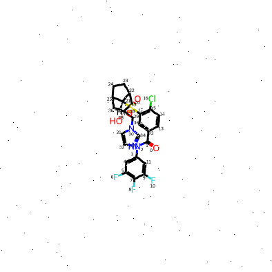 O=C(Nc1cc(F)c(F)c(F)c1)c1ccc(Cl)c(S(=O)(=O)[C@H]2C3CCC2C[C@](O)(Cn2ccnc2)C3)c1